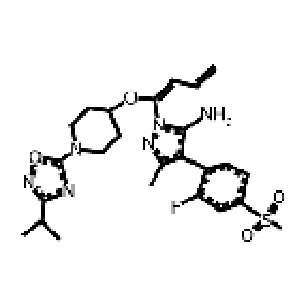 C=C/C=C(/OC1CCN(c2nc(C(C)C)no2)CC1)n1nc(C)c(-c2ccc(S(C)(=O)=O)cc2F)c1N